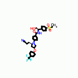 CCS(=O)(=O)c1ccc([C@H](CO)NC(=O)c2ccc(N3C[C@H](Oc4ccc(C(F)(F)F)cc4)C[C@H]3CCC#N)cc2)cc1